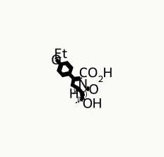 CCOc1ccc(C2=C(C(=O)O)N3C(=O)[C@H]([C@@H](C)O)[C@H]3C2)cc1